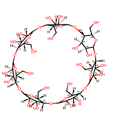 OC[C@H]1OC2O[C@H]3[C@H](O)[C@H](O)C(O[C@@H]4[C@H](O)[C@H](O)C(O[C@@H]5[C@H](O)[C@@H](O)C(O[C@@H]6[C@H](O)[C@H](O)C(O[C@@H]7[C@H](O)[C@@H](O)C(O[C@H]8[C@H](O)[C@H](O)C(OC1[C@H](O)[C@H]2O)O[C@@H]8CO)O[C@@H]7CO)O[C@@H]6CO)O[C@@H]5CO)O[C@@H]4CO)O[C@@H]3CO